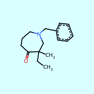 CCC1(C)CN(Cc2ccccc2)CCCC1=O